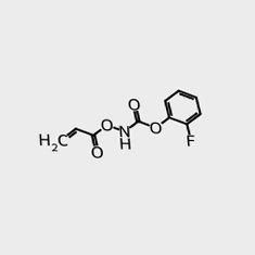 C=CC(=O)ONC(=O)Oc1ccccc1F